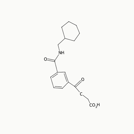 O=C(O)CCC(=O)c1cccc(C(=O)NCC2CCCCC2)c1